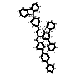 c1ccc(-c2ccc(-c3ccc(CC(CCc4ccc(-n5c6ccccc6c6ccccc65)cc4)c4cc(-c5ccccc5)cc5c4oc4ccccc45)cc3)cc2)cc1